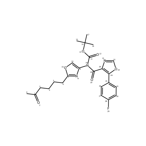 CC(=O)CCCCc1nc(N(C(=O)OC(C)(C)C)C(=O)c2ncoc2-c2ccc(F)cc2)co1